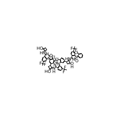 CC(F)(F)c1ccc2c(N[C@@H]3C(c4ccc(Cl)c(-n5c(=O)nc(N[C@@H]6CC[C@H]6O)c6ccc(C(C)(F)F)cc65)c4)C[C@H]3O)nc(=O)n(-c3cc(C4C[C@H](O)[C@H]4Nc4nc(=O)n(-c5ccccc5Cl)c5cc(C(C)(F)F)ccc45)ccc3Cl)c2c1